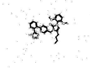 CCCCc1cn(-c2c(OC)cccc2OC)c(=O)n1Cc1ccc(-c2ccccc2-c2nnn[nH]2)nc1